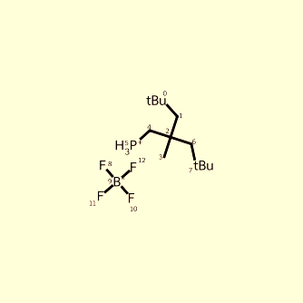 CC(C)(C)CC(C)(C[PH3+])CC(C)(C)C.F[B-](F)(F)F